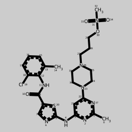 Cc1nc(Nc2ncc(C(=O)Nc3c(C)cccc3Cl)s2)cc(N2CCN(CCCOS(C)(=O)=O)CC2)n1